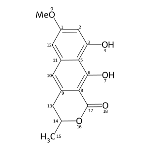 COc1cc(O)c2c(O)c3c(cc2c1)CC(C)OC3=O